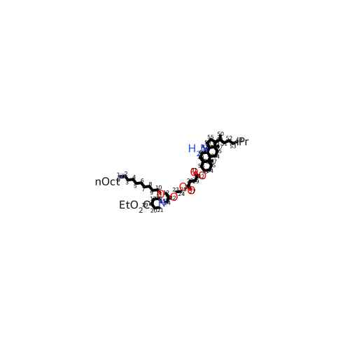 CCCCCCCC/C=C\CCCCCCCCOCC(CN1CCC(C(=O)OCC)CC1)OCCOC(=O)CCC(=O)OC1CCC2(C)C(=CCC3(N)C2CCC2(C)C(C(C)CCCC(C)C)CCC23)C1